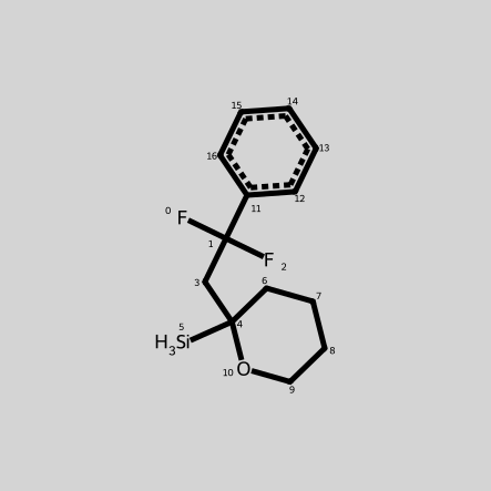 FC(F)(CC1([SiH3])CCCCO1)c1ccccc1